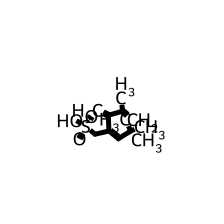 C=C(C)C(=C)/C(=C\C(C)(C)C)CS(=O)(=O)O